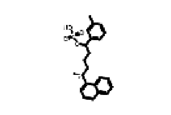 Cc1cccc(C(CCC[C@H](C)c2cccc3ccccc23)OS(=O)(=O)O)c1